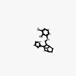 CN1C2CCC1C(COc1cccc(Cl)c1Cl)C(c1cccs1)C2